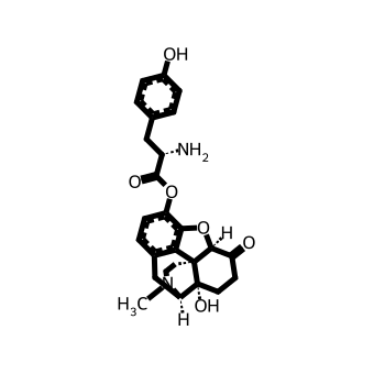 CN1CC[C@]23c4c5ccc(OC(=O)[C@@H](N)Cc6ccc(O)cc6)c4O[C@H]2C(=O)CC[C@@]3(O)[C@H]1C5